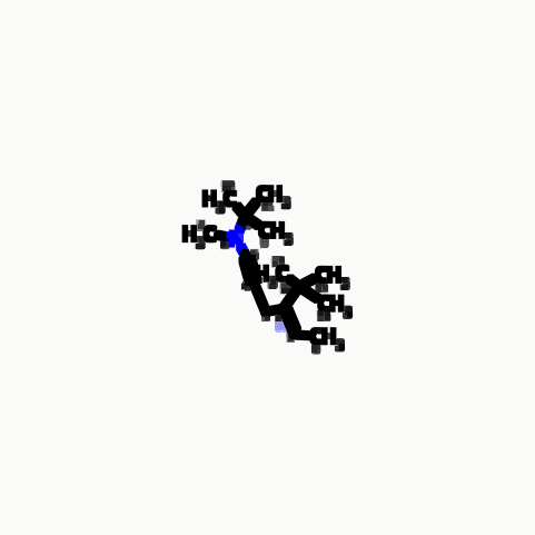 C/C=C(/CC#CN(C)C(C)(C)C)C(C)(C)C